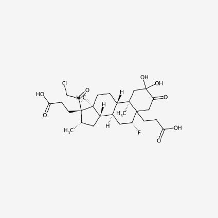 C[C@H]1C[C@H]2[C@@H]3C[C@@H](F)C4(CCC(=O)O)CC(=O)C(O)(O)C[C@]4(C)[C@H]3CC[C@]2(C)[C@@]1(CCC(=O)O)C(=O)CCl